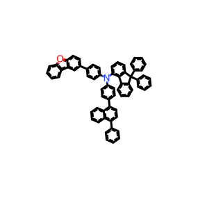 c1ccc(-c2ccc(-c3ccc(N(c4ccc(-c5ccc6oc7ccccc7c6c5)cc4)c4cccc5c4-c4ccccc4C5(c4ccccc4)c4ccccc4)cc3)c3ccccc23)cc1